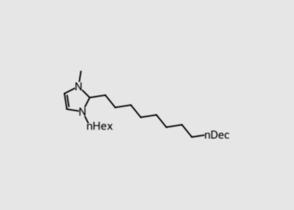 CCCCCCCCCCCCCCCCCCC1N(C)C=CN1CCCCCC